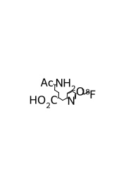 CC(=O)[C@@H](N)CCC(Cc1ccc(OCC[18F])cn1)C(=O)O